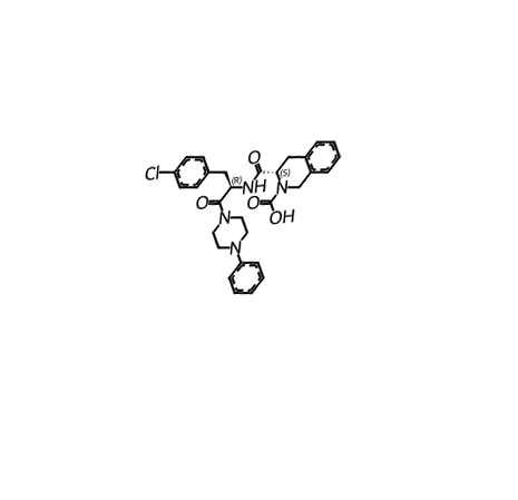 O=C(N[C@H](Cc1ccc(Cl)cc1)C(=O)N1CCN(c2ccccc2)CC1)[C@@H]1Cc2ccccc2CN1C(=O)O